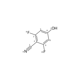 N#Cc1c(F)cc(O)cc1F